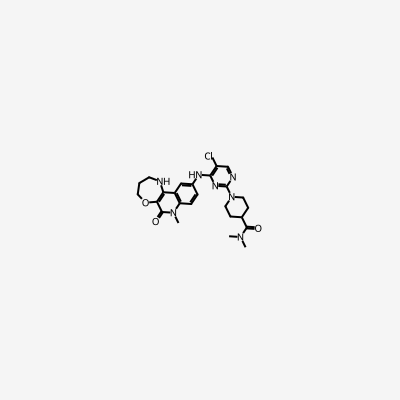 CN(C)C(=O)C1CCN(c2ncc(Cl)c(Nc3ccc4c(c3)c3c(c(=O)n4C)OCCCN3)n2)CC1